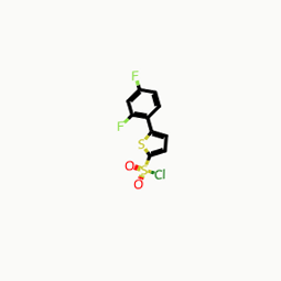 O=S(=O)(Cl)c1ccc(-c2ccc(F)cc2F)s1